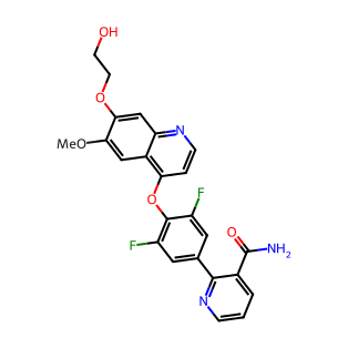 COc1cc2c(Oc3c(F)cc(-c4ncccc4C(N)=O)cc3F)ccnc2cc1OCCO